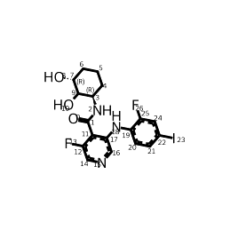 O=C(N[C@@H]1CCC[C@@H](O)C1O)c1c(F)cncc1Nc1ccc(I)cc1F